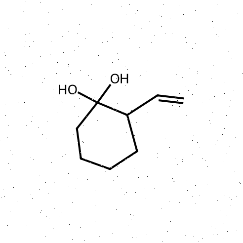 C=CC1CCCCC1(O)O